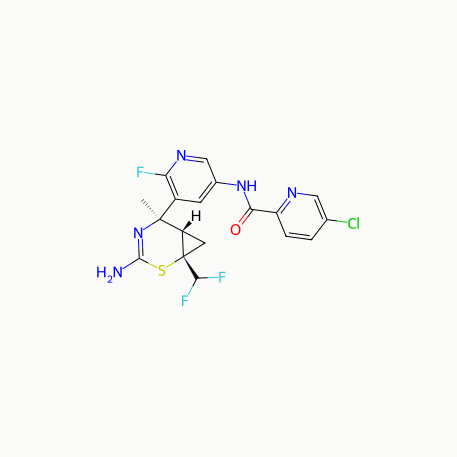 C[C@@]1(c2cc(NC(=O)c3ccc(Cl)cn3)cnc2F)N=C(N)S[C@@]2(C(F)F)C[C@@H]12